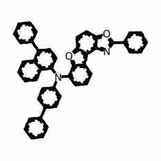 c1ccc(-c2ccc(N(c3ccc(-c4ccccc4)c4ccccc34)c3cccc4c3oc3ccc5oc(-c6ccccc6)nc5c34)cc2)cc1